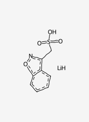 O=S(=O)(O)Cc1noc2ccccc12.[LiH]